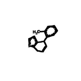 Cc1ccccc1C1C=CCc2sccc21